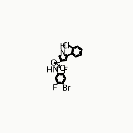 O=S(=O)(Nc1cc(F)c(Br)cc1F)c1c[nH]c(-c2ccccc2Cl)c1